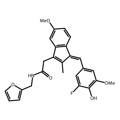 COc1ccc2c(c1)C(CC(=O)NCc1ccco1)=C(C)C2=Cc1cc(F)c(O)c(OC)c1